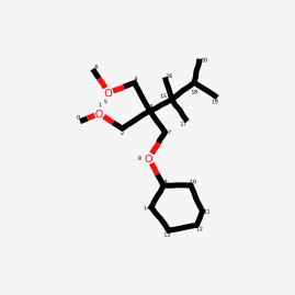 COCC(COC)(COC1CCCCC1)C(C)(C)C(C)C